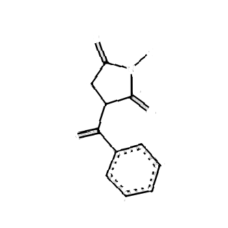 O=C(c1ccccc1)C1CC(=O)N(Cl)C1=O